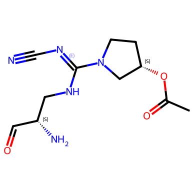 CC(=O)O[C@H]1CCN(/C(=N/C#N)NC[C@H](N)C=O)C1